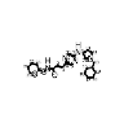 O=C(/C=C/c1cnc(N[C@@H]2CCN(CC3CCCCC3)C2)cn1)NOC1CCCCO1